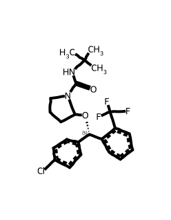 CC(C)(C)NC(=O)N1CCCC1O[C@@H](c1ccc(Cl)cc1)c1ccccc1C(F)(F)F